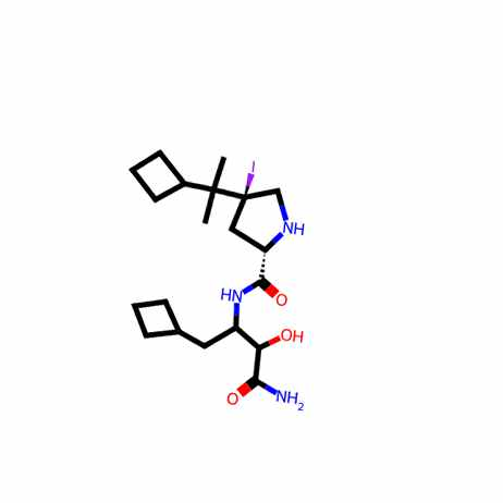 CC(C)(C1CCC1)[C@]1(I)CN[C@H](C(=O)NC(CC2CCC2)C(O)C(N)=O)C1